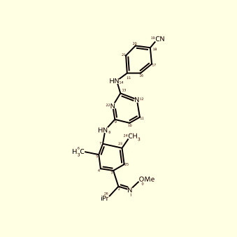 CO/N=C(\c1cc(C)c(Nc2ccnc(Nc3ccc(C#N)cc3)n2)c(C)c1)C(C)C